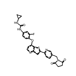 O=C(Nc1ccc(Oc2ccnc3cc(-c4ccc(CN5C(=O)CCC5=O)cn4)sc23)c(F)c1)NC1CC1